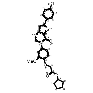 COc1cc(-n2cnc3cc(-c4ccc(Cl)cc4)sc3c2=O)ccc1OCC(=O)NC1CCCC1